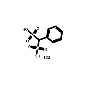 Cl.O=S(=O)(O)C(c1ccccc1)S(=O)(=O)O